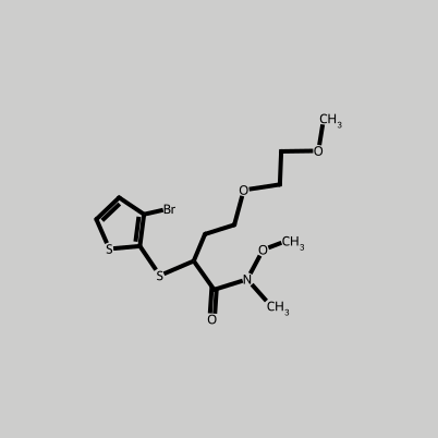 COCCOCCC(Sc1sccc1Br)C(=O)N(C)OC